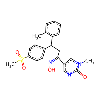 Cc1ccccc1C(CC(=NO)c1cnc(=O)n(C)c1)c1ccc(S(C)(=O)=O)cc1